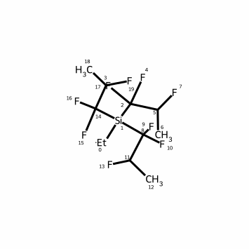 C[CH][Si](C(F)(F)C(C)F)(C(F)(F)C(C)F)C(F)(F)C(C)F